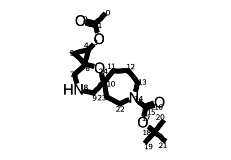 CC(=O)OC1CC12CNCC1(CCCN(C(=O)OC(C)(C)C)CC1)O2